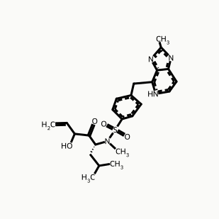 C=CC(O)C(=O)[C@@H](CC(C)C)N(C)S(=O)(=O)c1ccc(Cc2[nH]ccc3nc(C)nc2-3)cc1